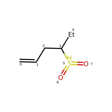 C=CCC(CC)[SH](=O)=O